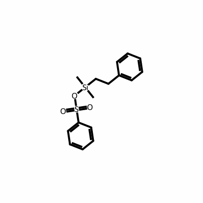 C[Si](C)(CCc1ccccc1)OS(=O)(=O)c1ccccc1